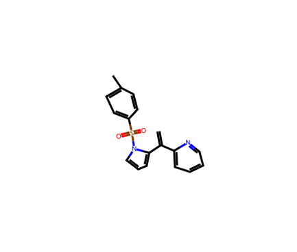 C=C(c1ccccn1)c1cccn1S(=O)(=O)c1ccc(C)cc1